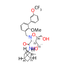 COc1c(CN2O[C@@H](CO)[C@H]([C@H](C)O)C2C(=O)N[C@H]2C[C@H]3C[C@@H]([C@@H]2C)C3(C)C)cccc1-c1cccc(OC(F)(F)F)c1